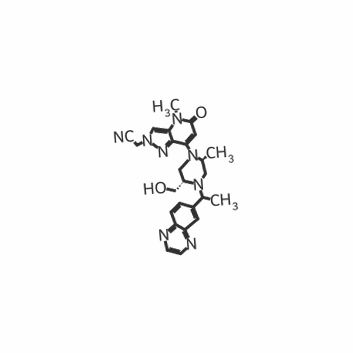 CC(c1ccc2nccnc2c1)N1C[C@H](C)N(c2cc(=O)n(C)c3cn(CC#N)nc23)C[C@H]1CO